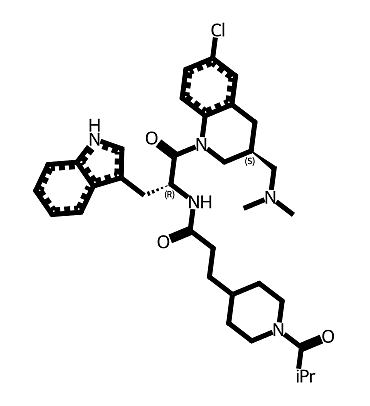 CC(C)C(=O)N1CCC(CCC(=O)N[C@H](Cc2c[nH]c3ccccc23)C(=O)N2C[C@H](CN(C)C)Cc3cc(Cl)ccc32)CC1